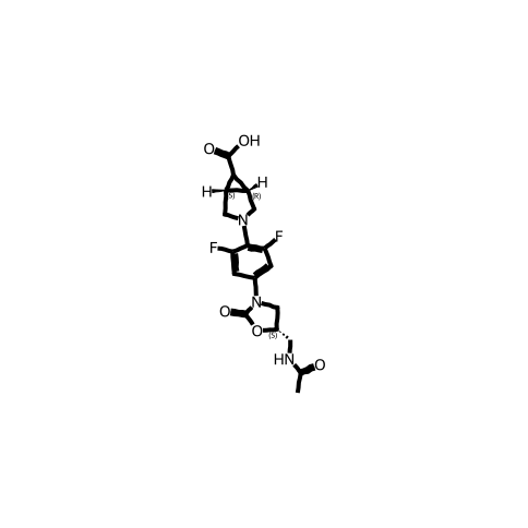 CC(=O)NC[C@H]1CN(c2cc(F)c(N3C[C@@H]4C(C(=O)O)[C@@H]4C3)c(F)c2)C(=O)O1